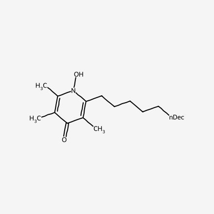 CCCCCCCCCCCCCCCc1c(C)c(=O)c(C)c(C)n1O